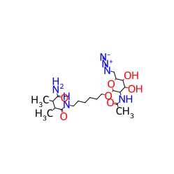 CC(=O)NC1C(OCCCCCCNC(=O)C(C)C(C)C(N)=O)OC(CN=[N+]=[N-])C(O)C1O